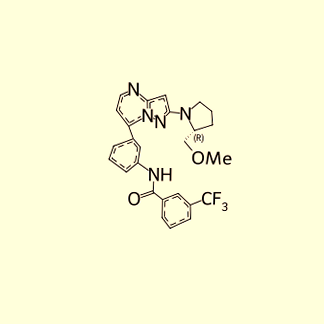 COC[C@H]1CCCN1c1cc2nccc(-c3cccc(NC(=O)c4cccc(C(F)(F)F)c4)c3)n2n1